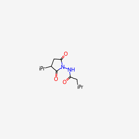 CC(C)CC(=O)NN1C(=O)CC(C(C)C)C1=O